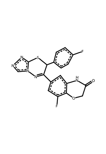 O=C1COc2c(F)cc(C3=Nn4cnnc4SC3c3ccc(F)cc3)cc2N1